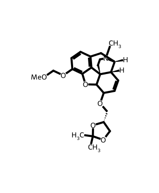 COCOc1ccc2c3c1OC1C(OC[C@@H]4COC(C)(C)O4)C=C[C@H]4[C@@H](C2)N(C)CC[C@]314